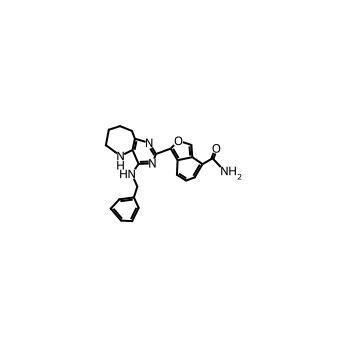 NC(=O)c1cccc2c(-c3nc4c(c(NCc5ccccc5)n3)NCCCC4)occ12